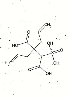 C=CCC(CC=C)(C(=O)O)C(C(=O)O)P(=O)(O)O